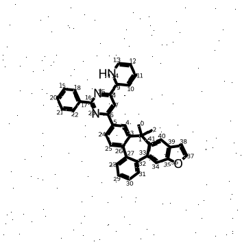 CC1(C)c2cc(-c3cc(C4C=CC=CN4)nc(-c4ccccc4)n3)ccc2-c2ccccc2-c2cc3occc3cc21